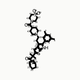 Cc1cc(C)cc(-c2[nH]c3sc(C(C)(C)C(=O)N4C5CCC4CC5)cc3c2CCN2CCC(C(=O)N3CCS(=O)(=O)CC3)CC2)c1